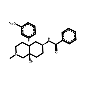 COc1cccc([C@@]23CCN(C)C[C@@]2(O)CC[C@H](NC(=O)c2ccccc2)C3)c1